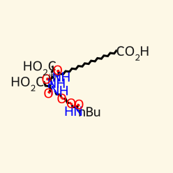 CCCCNC(=O)COCCOCCNC(=O)C(CCC(=O)O)NC(=O)[C@H](CCC(=O)O)NC(=O)CCCCCCCCCCCCCCCCCCC(=O)O